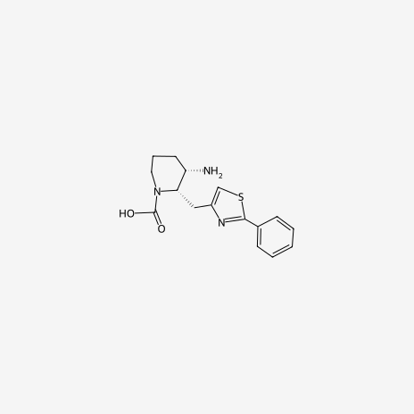 N[C@H]1CCCN(C(=O)O)[C@H]1Cc1csc(-c2ccccc2)n1